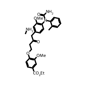 CCOC(=O)c1ccc(OCCC(=O)Cc2ccc(N(C(N)=O)c3ccccc3C)c(OC)c2)c(OC)c1.CN